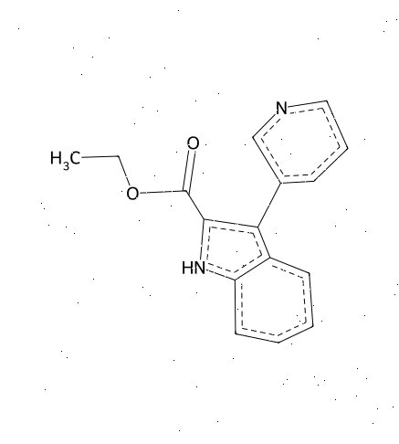 CCOC(=O)c1[nH]c2ccccc2c1-c1cccnc1